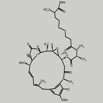 CNC(=O)C(CCSSCCC(=O)N(C)[C@@H](C)C(=O)O[C@H]1CC(=O)N(C)c2cc(cc(OC)c2Cl)C/C(C)=C/C=C/[C@@H](OC)[C@@]2(O)C[C@H](OC(=O)N2)[C@@H](C)[C@@H]2O[C@@]12C)S(=O)(=O)O